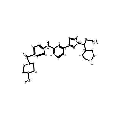 COC1CCN(C(=O)c2ccc(Nc3nccc(-c4cnn(C(CN)C5CCOCC5)c4)n3)cc2)CC1